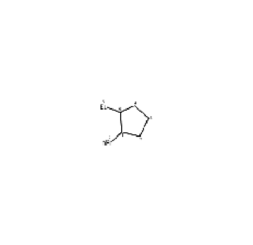 CCCC1CCCC1CC